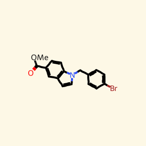 COC(=O)c1ccc2c(ccn2Cc2ccc(Br)cc2)c1